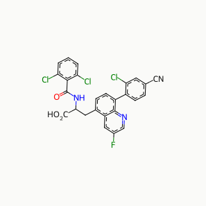 N#Cc1ccc(-c2ccc(CC(NC(=O)c3c(Cl)cccc3Cl)C(=O)O)c3cc(F)cnc23)c(Cl)c1